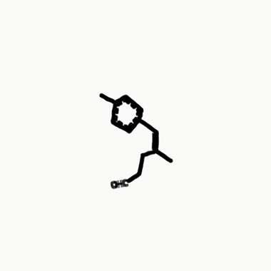 CC(=Cc1ccc(C)cc1)CCC=O